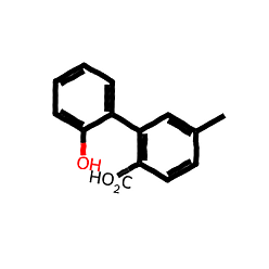 Cc1ccc(C(=O)O)c(-c2ccccc2O)c1